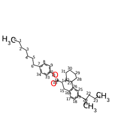 CCCCCCCc1ccc(OC(=O)CCc2ccc(C(C)CCC)cc2C2CCCCC2)cc1